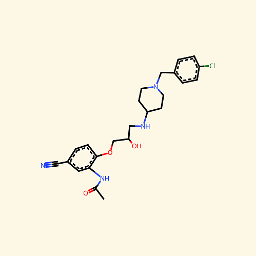 CC(=O)Nc1cc(C#N)ccc1OCC(O)CNC1CCN(Cc2ccc(Cl)cc2)CC1